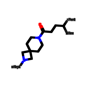 CCCCCCCN1CC2(CCN(C(=O)CCC(CCCCC)CCCCCC)CC2)C1